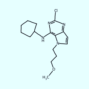 COCCCn1ccc2nc(Cl)nc(NC3CCCCC3)c21